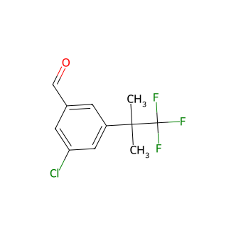 CC(C)(c1cc(Cl)cc(C=O)c1)C(F)(F)F